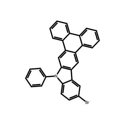 Brc1ccc2c(c1)c1cc3c4ccccc4c4ccccc4c3cc1n2-c1ccccc1